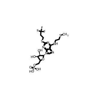 CSCCNc1nc(SCCC(F)(F)F)nc2c1ncn2[C@@H]1OC(COP(=O)(O)O)[C@@H](O)[C@H]1O